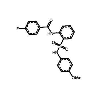 COc1ccc(NS(=O)(=O)c2ccccc2NC(=O)c2ccc(F)cc2)cc1